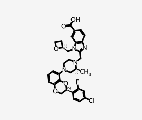 C[C@H]1CN(c2cccc3c2O[C@@H](c2ccc(Cl)cc2F)CO3)CCN1Cc1nc2ccc(C(=O)O)cc2n1C[C@@H]1CCO1